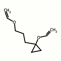 C=COCCCC1(OC=C)CC1